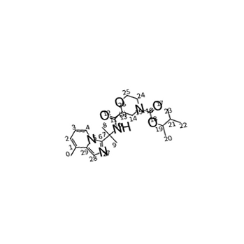 Cc1cccn2c(C(C)(C)NC(=O)[C@@H]3CN(C(=O)OC(C)C(C)C)CCO3)ncc12